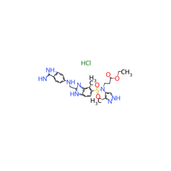 CCOC(=O)CCN(c1c[nH]nc1C)S(=O)(=O)c1ccc2[nH]c(CNc3ccc(C(=N)N)cc3)nc2c1C.Cl